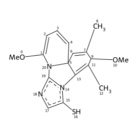 COC1=CC=CC23C=C(C)C(OC)C(C)=C2n2c(S)cnc2N13